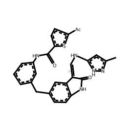 CC(=O)c1ccc(C(=O)Nc2cccc(Cc3ccc4c(c3)/C(=C/Nc3cc(C)n[nH]3)C(=O)N4)c2)s1